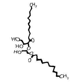 CCCCCCCCCCCC(=O)OCC(CO)OC(C(=O)CCCCCCCCCCC)C(O)CO